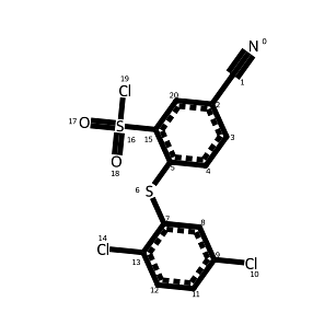 N#Cc1ccc(Sc2cc(Cl)ccc2Cl)c(S(=O)(=O)Cl)c1